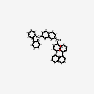 c1ccc(-c2cccc3cccc(-c4ccc(Nc5ccc6ccc(-n7c8ccccc8c8ccccc87)cc6c5)cc4)c23)cc1